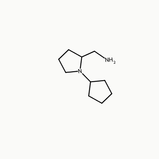 NCC1CCCN1C1CCCC1